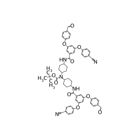 CC(C)(C)OC(=O)N(C1CCC(NC(=O)c2cc(Oc3ccc(C#N)cc3)cc(Oc3ccc(C=O)cc3)c2)CC1)C1CCC(NC(=O)c2cc(Oc3ccc(C#N)cc3)cc(Oc3ccc(C=O)cc3)c2)CC1